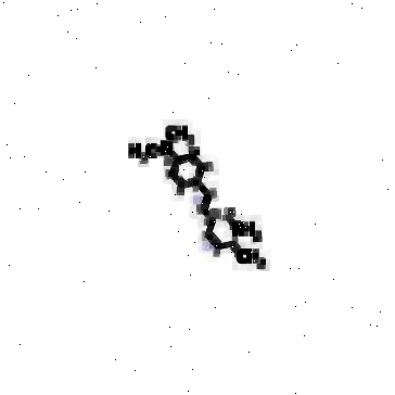 C=C/C=C\[C@H](/C=C/c1ccc(N(C)C)cc1)CN